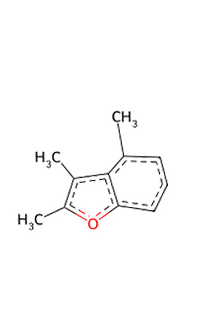 Cc1oc2cccc(C)c2c1C